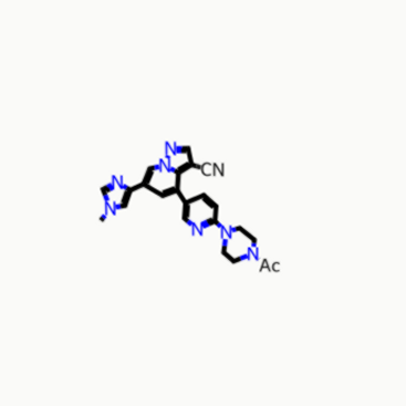 CC(=O)N1CCN(c2ccc(-c3cc(-c4cn(C)cn4)cn4ncc(C#N)c34)cn2)CC1